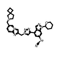 N#C[Se]c1cc(-c2cn(Cc3cn4cc(CN5CCC6(CCC6)C5)ccc4n3)nn2)c2cnn(C3CCCCO3)c2c1